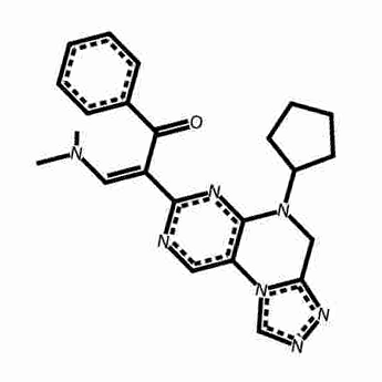 CN(C)/C=C(\C(=O)c1ccccc1)c1ncc2c(n1)N(C1CCCC1)Cc1nncn1-2